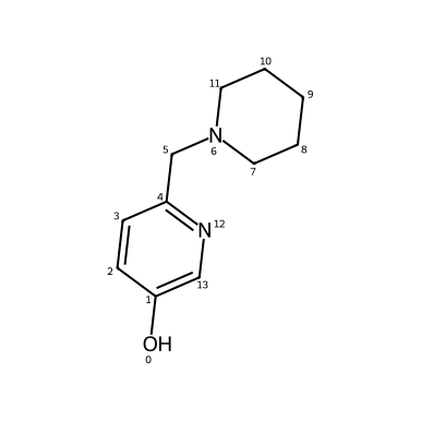 Oc1ccc(CN2CCCCC2)nc1